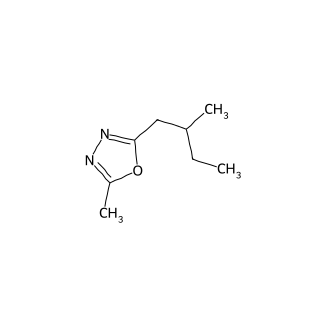 CCC(C)Cc1nnc(C)o1